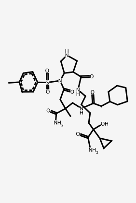 Cc1ccc(S(=O)(=O)N(C(=O)CC(C)(CNC(=O)[CH]C2CCCCC2)C(N)=O)C2CNCC2C(=O)NCCCCC(O)(C(N)=O)C2CC2)cc1